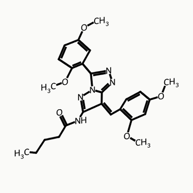 CCCCC(=O)Nc1nn2c(-c3cc(OC)ccc3OC)nnc2/c1=C\c1ccc(OC)cc1OC